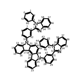 c1ccc(-n2c(-c3cccc(-n4c5ccccc5c5c6c7ccccc7n(-c7cccc(-c8nc9ccccc9n8-c8ccccc8)c7)c6ccc54)c3)nc3ccccc32)cc1